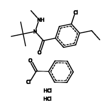 CCc1ccc(C(=O)N(NC)C(C)(C)C)cc1Cl.Cl.Cl.O=C(Cl)c1ccccc1